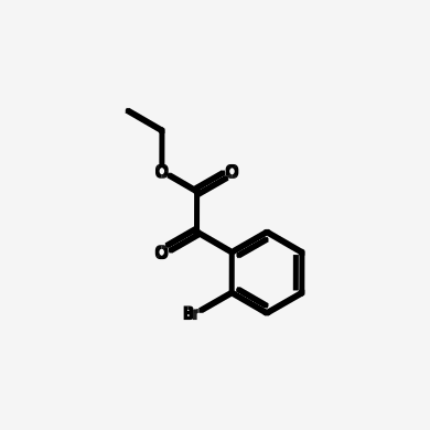 CCOC(=O)C(=O)c1ccccc1Br